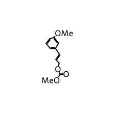 COC(=O)OCC=Cc1cccc(OC)c1